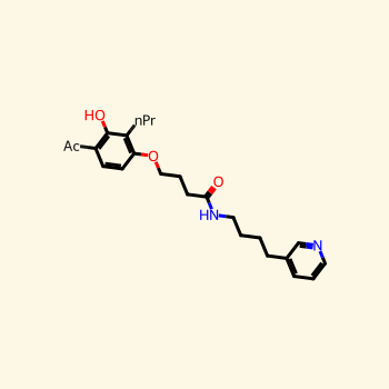 CCCc1c(OCCCC(=O)NCCCCc2cccnc2)ccc(C(C)=O)c1O